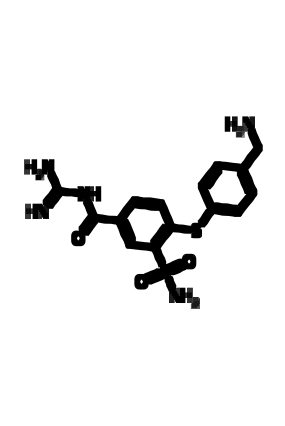 N=C(N)NC(=O)c1ccc(Sc2ccc(CN)cc2)c(S(N)(=O)=O)c1